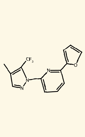 Cc1cnn(-c2cccc(-c3ccco3)n2)c1C(F)(F)F